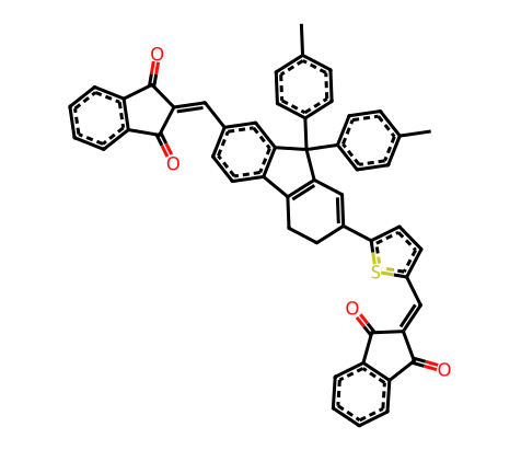 Cc1ccc(C2(c3ccc(C)cc3)C3=C(CCC(c4ccc(C=C5C(=O)c6ccccc6C5=O)s4)=C3)c3ccc(C=C4C(=O)c5ccccc5C4=O)cc32)cc1